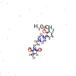 CC(C)Oc1c(F)cccc1N1CCN(CCCN2C(=O)CC3(CC3)C2=O)CC1